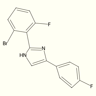 Fc1ccc(-c2c[nH]c(-c3c(F)cccc3Br)n2)cc1